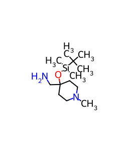 CN1CCC(CN)(O[Si](C)(C)C(C)(C)C)CC1